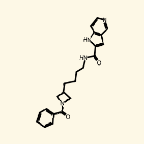 O=C(NCCCCC1CN(C(=O)c2ccccc2)C1)c1cc2cnccc2[nH]1